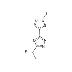 FC(F)c1nnc(-c2ccc(I)s2)o1